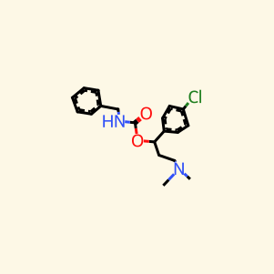 CN(C)CCC(OC(=O)NCc1ccccc1)c1ccc(Cl)cc1